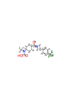 CC(C)(C)N(C(=O)O)C1CCC(C(=O)N2CC(c3ccc(C(F)(F)F)cc3)C2)CC1